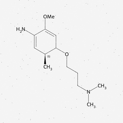 COC1=CC(OCCCN(C)C)[C@@H](C)C=C1N